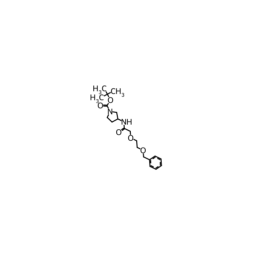 CC(C)(C)OC(=O)N1CCC(NC(=O)COCCOCc2ccccc2)C1